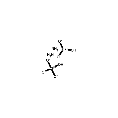 N.N.[O-][Br+2]([O-])O.[O-][Cl+3]([O-])([O-])O